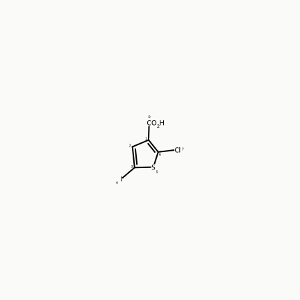 O=C(O)c1cc(I)sc1Cl